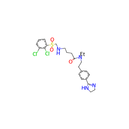 CCN(CCc1ccc(C2=NCCN2)cc1)C(=O)CCCNCS(=O)(=O)c1cccc(Cl)c1Cl